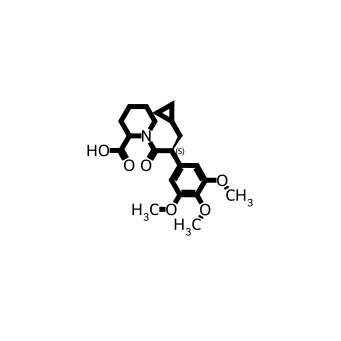 COc1cc([C@H](CC2CC2)C(=O)N2CCCCC2C(=O)O)cc(OC)c1OC